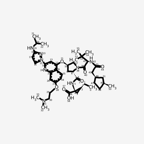 CC[C@@H]1C[C@]1(NC(=O)[C@@H]1C[C@@H](Oc2cc(-n3ccc(NC(C)C)n3)nc3cc(OCCN(C)C)ccc23)CN1C(=O)[C@@H](NC(=O)C[C@@H]1CC[C@H](C)C1)C(C)(C)C)C(=O)O